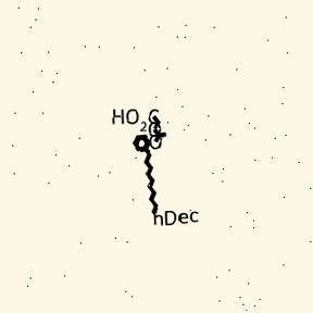 CCCCCCCCCCCCCCCCCCCCc1ccccc1OC(C)OCC(=O)O